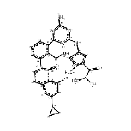 CN(C)C(=O)c1cc(Nc2nc(N)nc(-c3cccc(-n4ccc5cc(C6CC6)cc(F)c5c4=O)c3CO)n2)cn1C